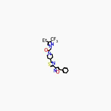 CCc1cn(CC(=O)N2CCC(c3nc(-c4cc(C5=CCCC=C5)on4)cs3)CC2)nc1C(F)(F)F